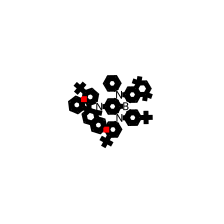 CC(C)(C)c1ccc(N2c3ccc(C(C)(C)C)cc3B3c4cc5c(cc4N(c4ccccc4)c4cc(N6c7ccc(C(C)(C)C)cc7C7(c8ccccc8)CCc8ccccc8C67C)cc2c43)C(C)(C)CCC5(C)C)cc1